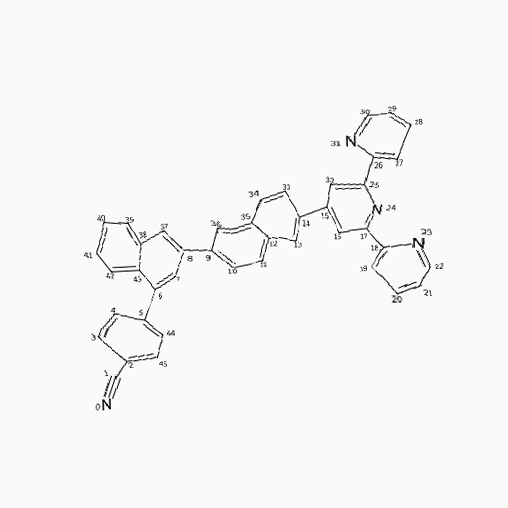 N#Cc1ccc(-c2cc(-c3ccc4cc(-c5cc(-c6ccccn6)nc(-c6ccccn6)c5)ccc4c3)cc3ccccc23)cc1